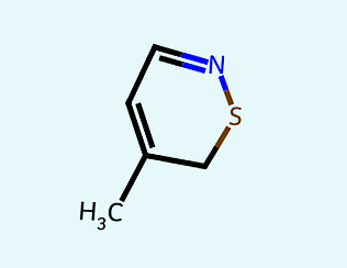 CC1=CC=NSC1